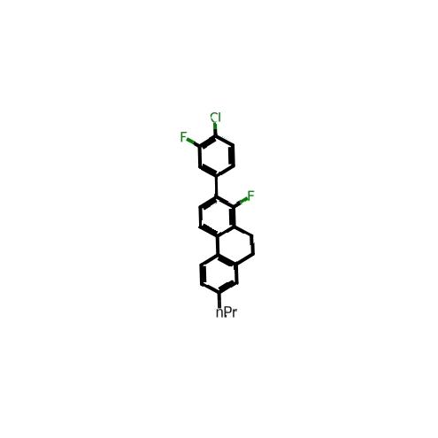 CCCc1ccc2c(c1)CCc1c-2ccc(-c2ccc(Cl)c(F)c2)c1F